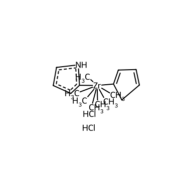 Cl.Cl.[CH3][Zr]([CH3])([CH3])([CH3])([CH3])([CH3])([CH3])([C]1=CC=CC1)[c]1ccc[nH]1